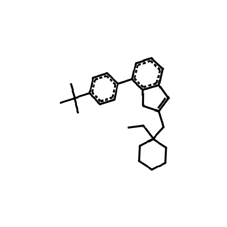 CCC1(CC2=Cc3cccc(-c4ccc(C(C)(C)C)cc4)c3C2)CCCCC1